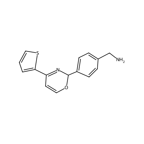 NCc1ccc(C2N=C(c3cccs3)C=CO2)cc1